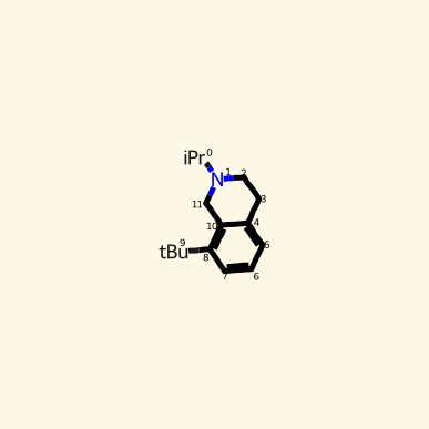 CC(C)N1CCc2cccc(C(C)(C)C)c2C1